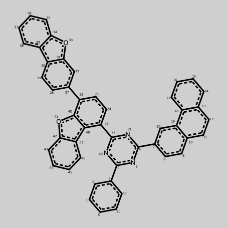 c1ccc(-c2nc(-c3ccc4ccc5ccccc5c4c3)nc(-c3ccc(-c4ccc5c(c4)oc4ccccc45)c4oc5ccccc5c34)n2)cc1